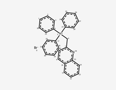 [Br-].c1ccc([P+](Cc2ccc3ccccc3n2)(c2ccccc2)c2ccccc2)cc1